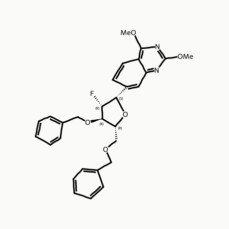 COc1nc(OC)c2ccc([C@@H]3O[C@H](COCc4ccccc4)[C@@H](OCc4ccccc4)[C@@H]3F)cc2n1